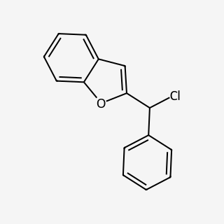 ClC(c1ccccc1)c1cc2ccccc2o1